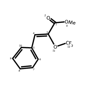 COC(=O)C(=Cc1ccccc1)OC(F)(F)F